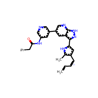 C=C/C=C\c1cc(-c2n[nH]c3ncc(-c4cncc(NC(=O)CC(C)C)c4)cc23)[nH]c1C